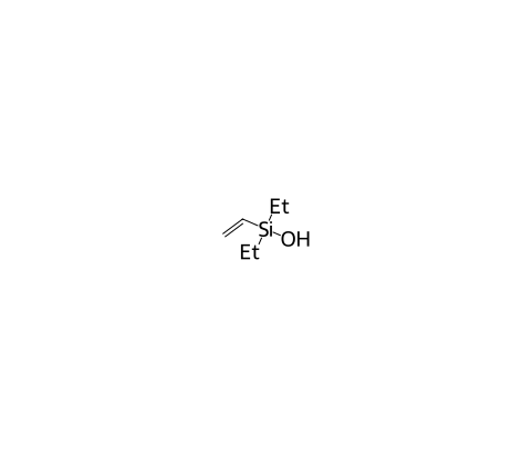 C=C[Si](O)(CC)CC